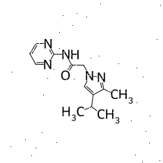 Cc1nn(CC(=O)Nc2ncccn2)cc1C(C)C